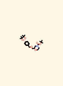 CC(C)(C)OC(=O)N1CCOC(COCc2ccc(B3OC(C)(C)C(C)(C)O3)cc2)C1